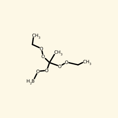 BOOC(C)(OOCC)OOCC